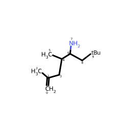 C=C(C)CC(C)C(N)CC(C)(C)C